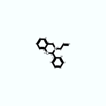 C=CCN1Cc2ccccc2OC1c1ccccc1